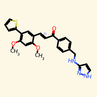 COc1cc(OC)c(-c2cccs2)cc1/C=C/C(=O)c1ccc(CNc2cc[nH]n2)cc1